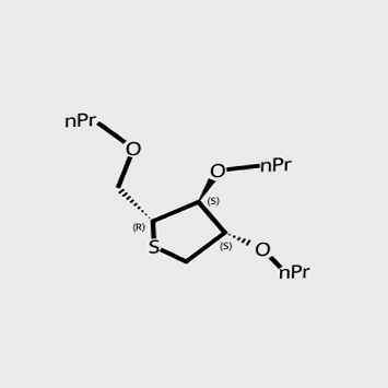 CCCOC[C@H]1SC[C@@H](OCCC)[C@@H]1OCCC